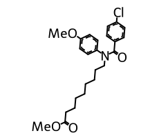 COC(=O)CCCCCCCCN(C(=O)c1ccc(Cl)cc1)c1ccc(OC)cc1